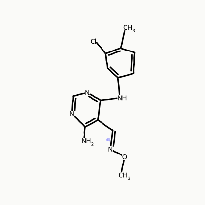 CO/N=C/c1c(N)ncnc1Nc1ccc(C)c(Cl)c1